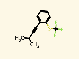 CC(C)C#Cc1ccccc1SC(F)(F)F